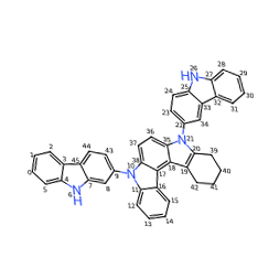 c1ccc2c(c1)[nH]c1cc(-n3c4ccccc4c4c5c6c(n(-c7ccc8[nH]c9ccccc9c8c7)c5ccc43)CCCC6)ccc12